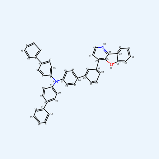 c1ccc(-c2ccc(N(c3ccc(-c4ccccc4)cc3)c3ccc(-c4cccc(-c5ccnc6c5oc5ccccc56)c4)cc3)cc2)cc1